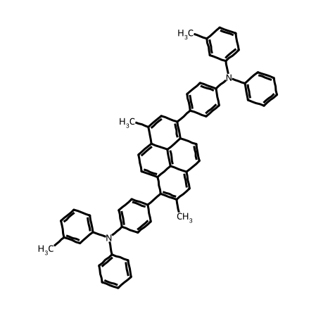 Cc1cccc(N(c2ccccc2)c2ccc(-c3c(C)cc4ccc5c(-c6ccc(N(c7ccccc7)c7cccc(C)c7)cc6)cc(C)c6ccc3c4c65)cc2)c1